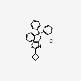 [Cl-].c1ccc([P+](Cc2csc(C3CCC3)n2)(c2ccccc2)c2ccccc2)cc1